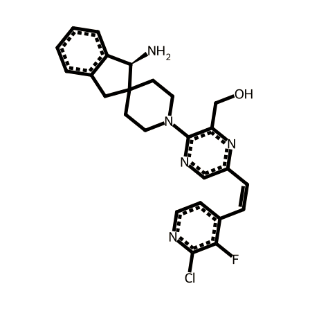 N[C@@H]1c2ccccc2CC12CCN(c1ncc(/C=C\c3ccnc(Cl)c3F)nc1CO)CC2